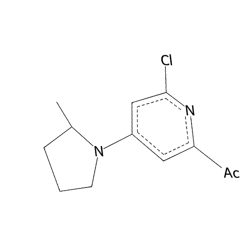 CC(=O)c1cc(N2CCCC2C)cc(Cl)n1